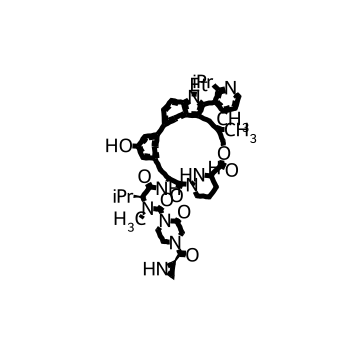 CCn1c(-c2cccnc2C(C)C)c2c3cc(ccc31)-c1cc(O)cc(c1)C[C@H](NC(=O)[C@H](C(C)C)N(C)C(=O)N1CCN(C(=O)[C@H]3CN3)CC1=O)C(=O)N1CCC[C@H](N1)C(=O)OCC(C)(C)C2